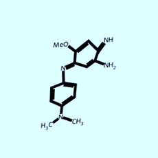 COC1=CC(=N)C(N)=CC1=Nc1ccc(N(C)C)cc1